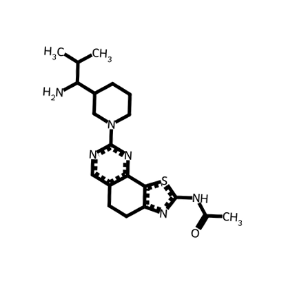 CC(=O)Nc1nc2c(s1)-c1nc(N3CCCC(C(N)C(C)C)C3)ncc1CC2